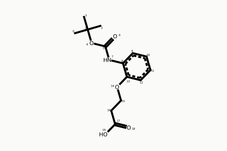 CC(C)(C)OC(=O)Nc1ccccc1OCCC(=O)O